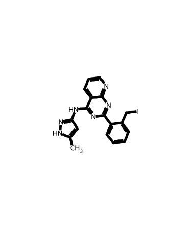 Cc1cc(Nc2nc(-c3ccccc3CI)nc3ncccc23)n[nH]1